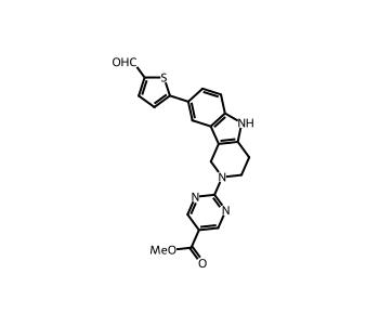 COC(=O)c1cnc(N2CCc3[nH]c4ccc(-c5ccc(C=O)s5)cc4c3C2)nc1